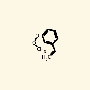 C=Cc1ccccc1.CO[O]